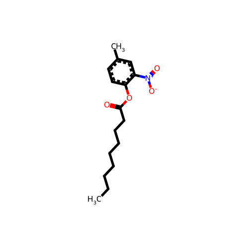 CCCCCCCCC(=O)Oc1ccc(C)cc1[N+](=O)[O-]